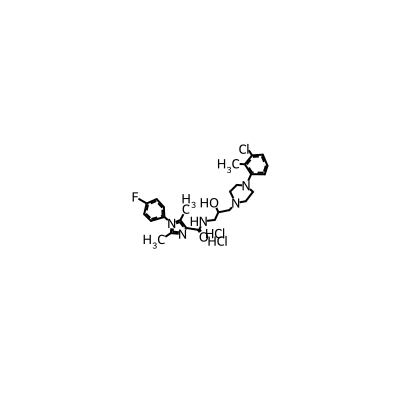 Cc1c(Cl)cccc1N1CCN(CC(O)CNC(=O)c2nc(C)n(-c3ccc(F)cc3)c2C)CC1.Cl.Cl